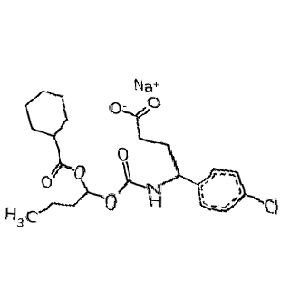 CCCC(OC(=O)NC(CCC(=O)[O-])c1ccc(Cl)cc1)OC(=O)C1CCCCC1.[Na+]